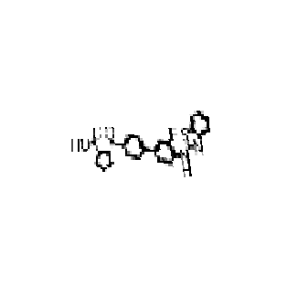 O=C(O)[C@@H]1CCC[C@H]1C(=O)c1ccc(-c2ccc(Nc3nc4ccccc4s3)c(F)c2)cc1